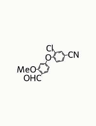 COc1cc(Oc2ccc(C#N)cc2Cl)ccc1C=O